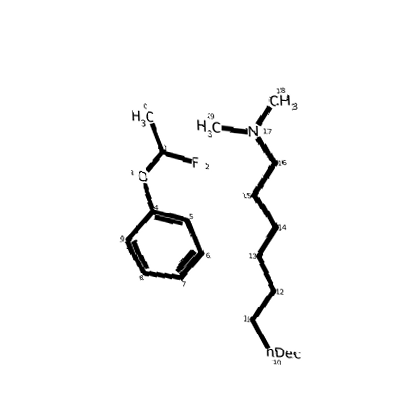 CC(F)Oc1ccccc1.CCCCCCCCCCCCCCCCN(C)C